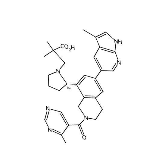 Cc1ncncc1C(=O)N1CCc2cc(-c3cnc4[nH]cc(C)c4c3)cc([C@@H]3CCCN3CC(C)(C)C(=O)O)c2C1